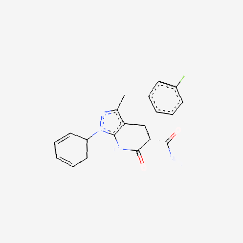 Cc1nn(C2C=CC=CC2)c2c1[C@H](c1ccc(F)cc1)[C@H](C(N)=O)C(=O)N2